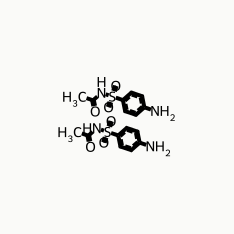 CC(=O)NS(=O)(=O)c1ccc(N)cc1.CC(=O)NS(=O)(=O)c1ccc(N)cc1